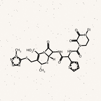 CCN1CCN(C(=O)NC(C(=O)NC2C(=O)N3C(C(=O)O)=C(CSc4nnnn4C)[C@@H](C)S[C@@H]23)c2cccs2)C(=O)C1=O